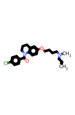 C=CCN(C)CCCCOc1ccc2c(c1)CCCN2C(=O)c1ccc(Cl)cc1